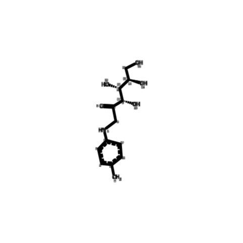 Cc1ccc(NCC(=O)[C@@H](O)[C@H](O)[C@H](O)CO)cc1